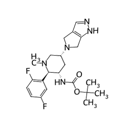 CN1C[C@H](N2Cc3cn[nH]c3C2)C[C@H](NC(=O)OC(C)(C)C)[C@H]1c1cc(F)ccc1F